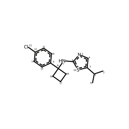 CC(C)c1cnc(NC2(c3ccc(Cl)cc3)CCC2)s1